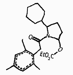 CCOC(=O)OC1CCC(C2CCCCC2)N1C(=O)Cc1c(C)cc(C)cc1C